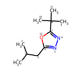 CC(C)Cc1nnc(C(C)(C)C)o1